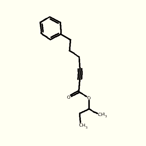 CCC(C)OC(=O)C#CCCCc1ccccc1